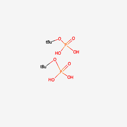 CC(C)(C)OP(=O)(O)O.CC(C)(C)OP(=O)(O)O